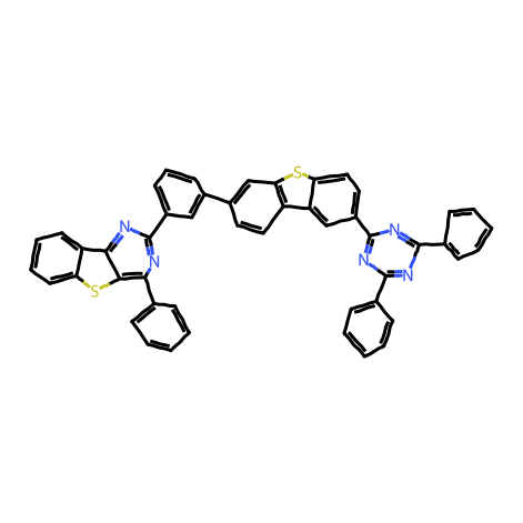 c1ccc(-c2nc(-c3ccccc3)nc(-c3ccc4sc5cc(-c6cccc(-c7nc(-c8ccccc8)c8sc9ccccc9c8n7)c6)ccc5c4c3)n2)cc1